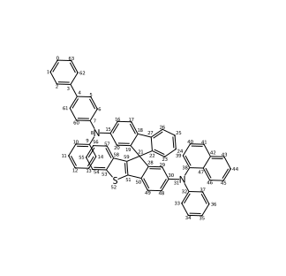 c1ccc(-c2ccc(N(c3ccccc3)c3ccc4c(c3)C3(c5ccccc5-4)c4cc(N(c5ccccc5)c5cccc6ccccc56)ccc4-c4sc5ccccc5c43)cc2)cc1